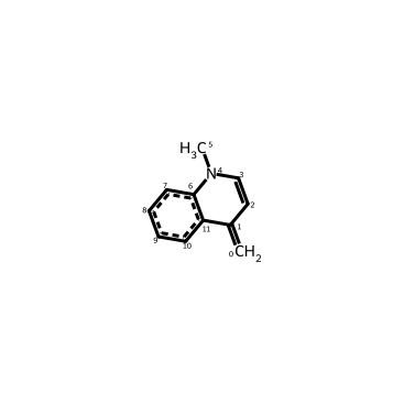 C=C1C=CN(C)c2ccccc21